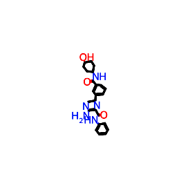 Nc1ncc(-c2cccc(C(=O)N[C@H]3CC[C@H](O)CC3)c2)nc1C(=O)Nc1ccccc1